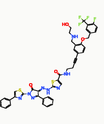 O=C(NCCC#Cc1ccc(OCc2ccc(F)c(C(F)(F)F)c2)c(CNCCO)c1)c1cnc(N/N=C2/C(=O)N(c3nc(-c4ccccc4)cs3)N=C2c2ccccc2)s1